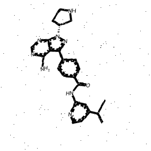 CC(C)c1ccnc(NC(=O)c2ccc(-c3nn([C@@H]4CCNC4)c4ncnc(N)c34)cc2)c1